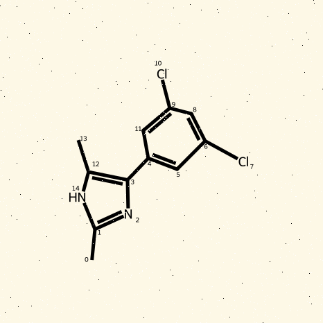 Cc1nc(-c2cc(Cl)cc(Cl)c2)c(C)[nH]1